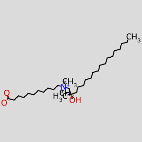 CCCCCCCCCCCCCCCCC(C)(O)C[N+](C)(C)CCCCCCCCCCC(=O)[O-]